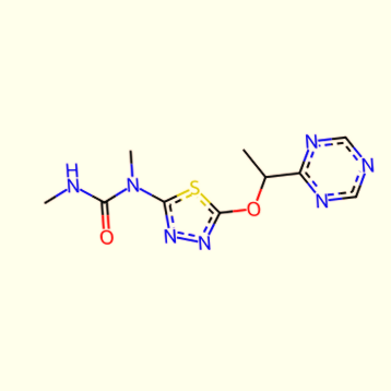 CNC(=O)N(C)c1nnc(OC(C)c2ncncn2)s1